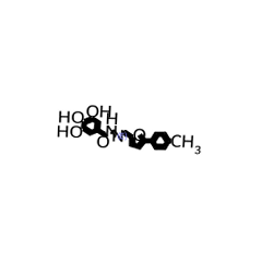 Cc1ccc(-c2ccc(/C=N/NC(=O)c3cc(O)c(O)c(O)c3)o2)cc1